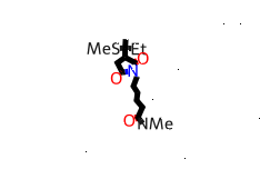 CCC(C)(SC)C1CC(=O)N(CCCCCC(=O)NC)C1=O